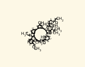 C=CC(=O)N1CCC(O)(C(=O)N(C)[C@H](C(=O)N[C@H]2Cc3cc(O)cc(c3)-c3ccc4c(c3)c(c(-c3cncc(COC)c3)n4CC)CC(C)(C)COC(=O)[C@@]3(O)CCCN(N3)C2=O)C(C)C)C1